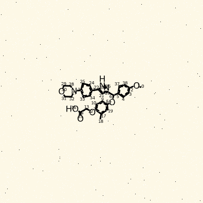 COc1ccc(C(Oc2ccc(OCC(=O)O)c(C)c2)c2cc(-c3ccc(N4CCOCC4)cc3)[nH]n2)cc1